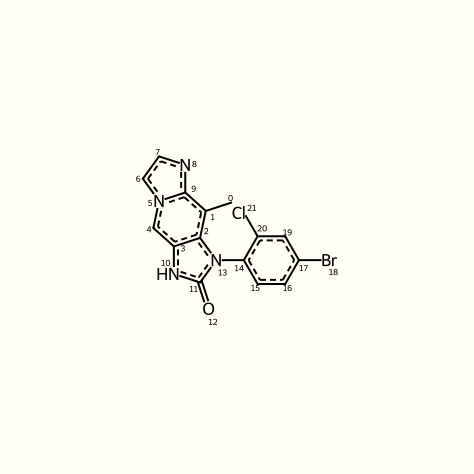 Cc1c2c(cn3ccnc13)[nH]c(=O)n2-c1ccc(Br)cc1Cl